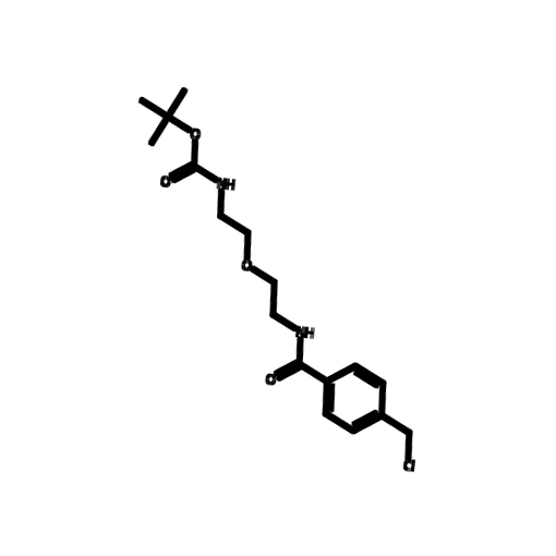 CC(C)(C)OC(=O)NCCOCCNC(=O)c1ccc(CCl)cc1